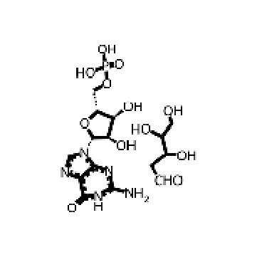 Nc1nc2c(ncn2[C@@H]2O[C@H](COP(=O)(O)O)[C@@H](O)[C@H]2O)c(=O)[nH]1.O=CCC(O)C(O)CO